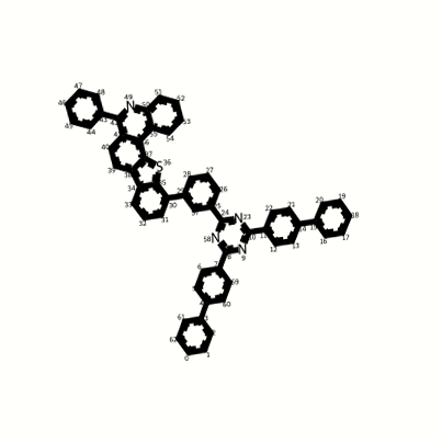 c1ccc(-c2ccc(-c3nc(-c4ccc(-c5ccccc5)cc4)nc(-c4cccc(-c5cccc6c5sc5c6ccc6c(-c7ccccc7)nc7ccccc7c65)c4)n3)cc2)cc1